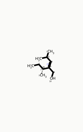 CC[C@@H](C)/C(=C\C(C)C)CO